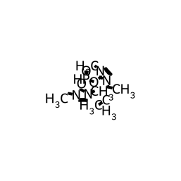 CC.CCN1C=CN(C)C1O[PH](=O)OC1N(C)C=CN1CC